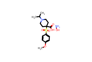 COc1ccc(S(=O)(=O)C2(C(=O)O)CCN(C(C)C)CC2)cc1.NO